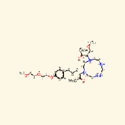 CCOCCOCCOc1ccc(CCC[C@@H](C(=O)OC)N2CCNCCNCCN([C@H](COC(C)(C)C)C(=O)OC)CC2)cc1